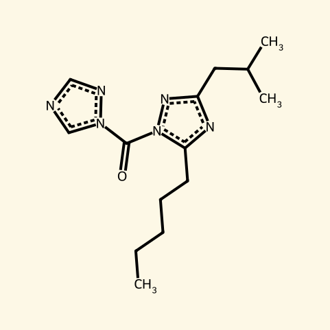 CCCCCc1nc(CC(C)C)nn1C(=O)n1cncn1